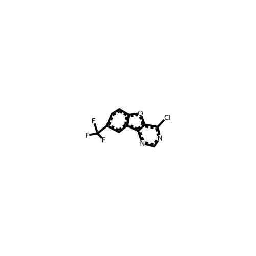 FC(F)(F)c1ccc2oc3c(Cl)ncnc3c2c1